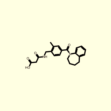 Cc1cc(C(=O)N2CCCCc3ccccc32)ccc1CNC(=O)CC(=O)O